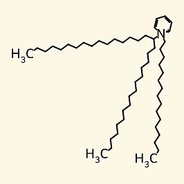 CCCCCCCCCCCCCCCCC(CCCCCCCCCCCCCCCC)[N+]1(CCCCCCCCCCCCCCCC)C=CC=CC1